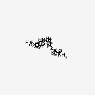 NC(=O)c1cn(CCC(F)Cn2cc(NC(=O)Cc3cc(OC(F)(F)F)ccc3F)nn2)nn1